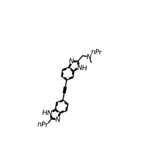 CCCc1nc2ccc(C#Cc3ccc4nc(CN(C)CCC)[nH]c4c3)cc2[nH]1